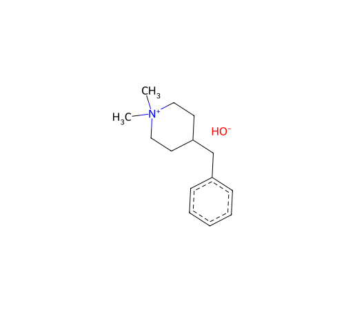 C[N+]1(C)CCC(Cc2ccccc2)CC1.[OH-]